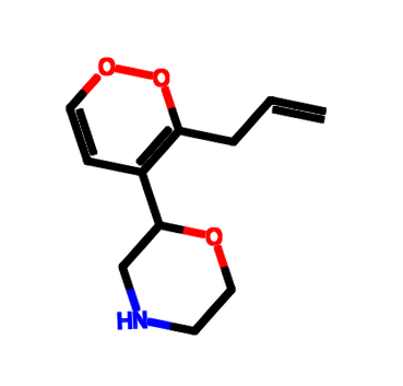 C=CCC1=C(C2CNCCO2)C=COO1